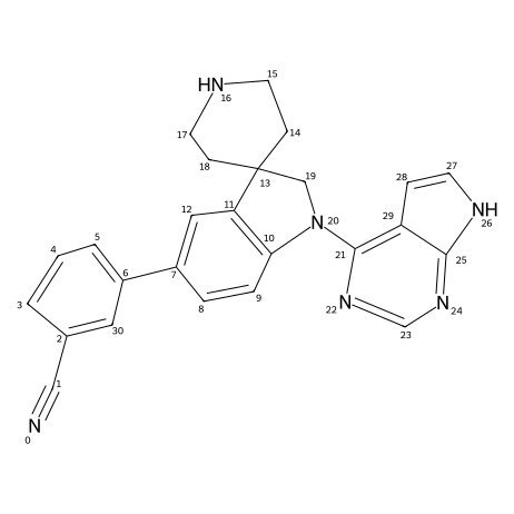 N#Cc1cccc(-c2ccc3c(c2)C2(CCNCC2)CN3c2ncnc3[nH]ccc23)c1